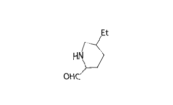 CCC1CCC(C=O)NC1